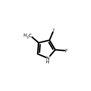 Cc1c[nH]c(F)c1I